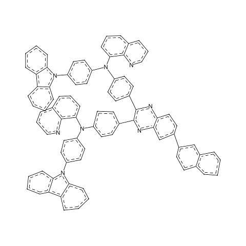 c1ccc2cc(-c3ccc4nc(-c5ccc(N(c6ccc(-n7c8ccccc8c8ccccc87)cc6)c6cccc7cccnc67)cc5)c(-c5ccc(N(c6ccc(-n7c8ccccc8c8ccccc87)cc6)c6cccc7cccnc67)cc5)nc4c3)ccc2c1